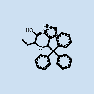 CCC(OC(c1c[nH]cn1)C(c1ccccc1)(c1ccccc1)c1ccccc1)C(=O)O